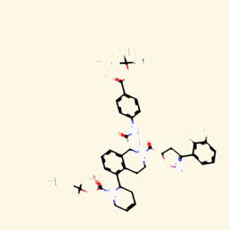 CC(C)(C)OC(=O)c1ccc(NC(=O)[C@@H]2c3cccc(C4CC=CCN4C(=O)OC(C)(C)C)c3CCN2C(=O)[C@H]2CC(c3cccc(Cl)c3F)=NO2)cc1